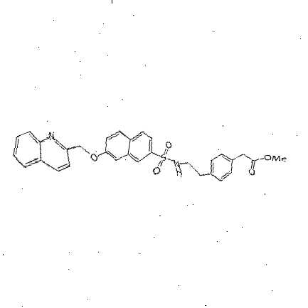 COC(=O)Cc1ccc(CCNS(=O)(=O)c2ccc3ccc(OCc4ccc5ccccc5n4)cc3c2)cc1